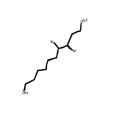 CCCCCCCCCCC(Br)C(Br)CCCCCCO